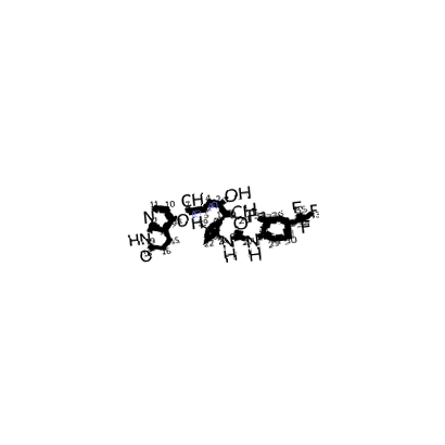 C=C(/C(O)=C\C=C(/C)Oc1ccnc2c1CCC(=O)N2)[C@@H]1[C@@H]2C[C@@]12NC(=O)Nc1ccc(C(F)(F)F)cc1F